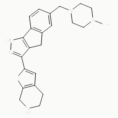 CN1CCN(Cc2ccc3c(c2)Cc2c(-c4cc5c(s4)CNCC5)n[nH]c2-3)CC1